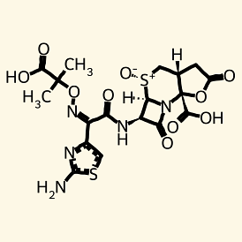 CC(C)(O/N=C(\C(=O)N[C@@H]1C(=O)N2[C@@H]1[S@+]([O-])C[C@@H]1CC(=O)O[C@@]12C(=O)O)c1csc(N)n1)C(=O)O